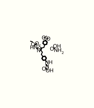 CCOC(=O)Nc1nc(CCc2ccc(NC=NC(=O)O)cc2)c(Cc2ccc(S(C)(=O)=O)cc2)s1.NC(=O)O